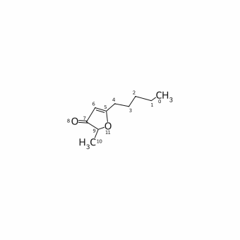 CCCCCC1=CC(=O)C(C)O1